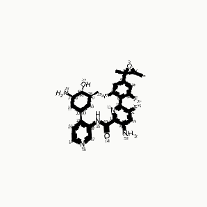 CC1OC1(C)c1cc(F)c(-c2nc(C(=O)Nc3cnccc3[C@H]3C[C@@H](N)[C@H](O)[C@@H](C)C3)c(N)cc2F)c(F)c1